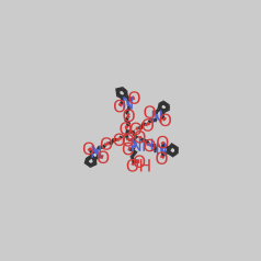 O=C(O)CCC(=O)NC1O[C@H](COCCOCCN2C(=O)c3ccccc3C2=O)[C@@H](OCCOCCN2C(=O)c3ccccc3C2=O)[C@H](OCCOCCN2C(=O)c3ccccc3C2=O)[C@H]1OCCOCCN1C(=O)c2ccccc2C1=O